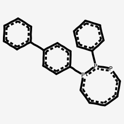 c1ccc(-c2ccc(-p3cccccpp3-c3ccccc3)cc2)cc1